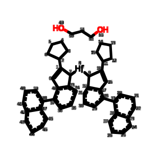 C1=C(C2CCCC2)[CH]([Hf][CH]2C(C3CCCC3)=Cc3c(-c4cccc5ccccc45)cccc32)c2cccc(-c3cccc4ccccc34)c21.OCCCO